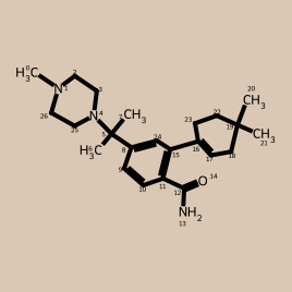 CN1CCN(C(C)(C)c2ccc(C(N)=O)c(C3=CCC(C)(C)CC3)c2)CC1